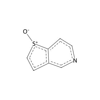 [O-][s+]1ccc2cnccc21